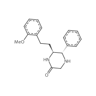 COc1ccccc1CC[C@@H]1NC(=O)CN[C@H]1c1ccccc1